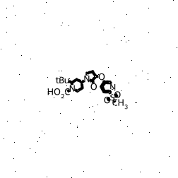 CC(C)(C)C1CC(N2CCC(Oc3ccc(S(C)(=O)=O)nc3)C2=O)CCN1C(=O)O